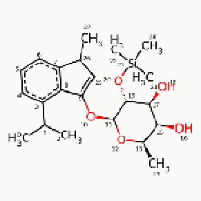 CC(C)c1cccc2c1C(O[C@@H]1O[C@H](C)[C@H](O)[C@H](O)[C@H]1O[Si](C)(C)C)=CC2C